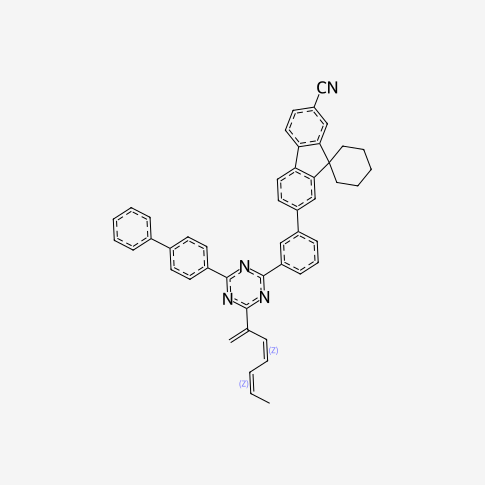 C=C(/C=C\C=C/C)c1nc(-c2ccc(-c3ccccc3)cc2)nc(-c2cccc(-c3ccc4c(c3)C3(CCCCC3)c3cc(C#N)ccc3-4)c2)n1